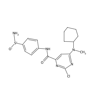 CN(c1cc(C(=O)Nc2ccc([S+](N)[O-])cc2)nc(Cl)n1)C1CCCCC1